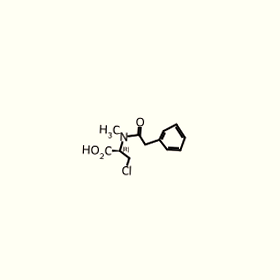 CN(C(=O)Cc1ccccc1)[C@@H](CCl)C(=O)O